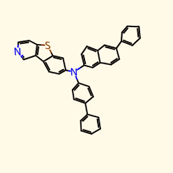 c1ccc(-c2ccc(N(c3ccc4cc(-c5ccccc5)ccc4c3)c3ccc4c(c3)sc3ccncc34)cc2)cc1